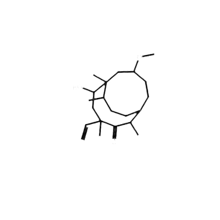 C=CC1(C)CC(O)C2(C)CC(OC)CCC(CCC2C)C(C)C1=O